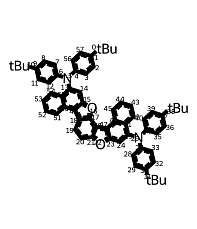 CC(C)(C)c1ccc(N(c2ccc(C(C)(C)C)cc2)c2cc3oc4c(ccc5oc6cc(N(c7ccc(C(C)(C)C)cc7)c7ccc(C(C)(C)C)cc7)c7ccccc7c6c54)c3c3ccccc23)cc1